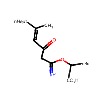 CCCCCCC/C(C)=C/C(=O)CC(=N)OC(CCCC)C(=O)O